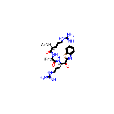 CC(=O)N[C@H](CCCNC(=N)N)C(=O)N[C@H](C(=O)N[C@@H](CCCNC(=N)N)C(=O)c1nc2ccccc2s1)C(C)C